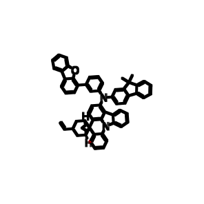 C=CC1C[C@@H]2CCC[C@@H](C1)C21c2ccccc2-n2c3ccccc3c3c(N(c4cccc(-c5cccc6c5oc5ccccc56)c4)c4ccc5c(c4)C(C)(C)c4ccccc4-5)ccc1c32